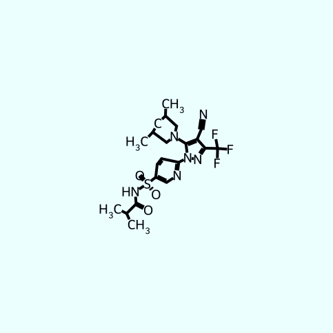 CC1CC(C)CN(c2c(C#N)c(C(F)(F)F)nn2-c2ccc(S(=O)(=O)NC(=O)C(C)C)cn2)C1